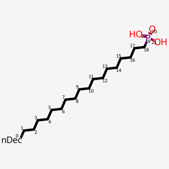 CCCCCCCCCCCCCCCCCCCCCCCCCCCCP(=O)(O)O